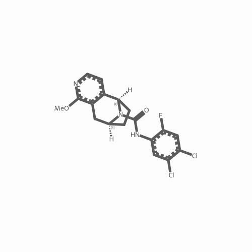 COc1nccc2c1C[C@@H]1CC[C@H]2N1C(=O)Nc1cc(Cl)c(Cl)cc1F